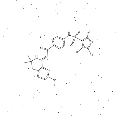 COc1ccc2c(c1)/C(=C/C(=O)c1ccc(NS(=O)(=O)c3c(Cl)sc(Cl)c3Br)cc1)NC(C)(C)C2